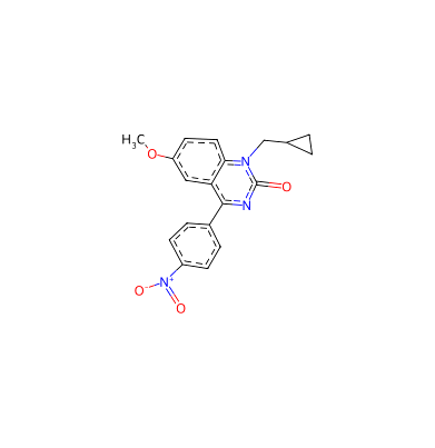 COc1ccc2c(c1)c(-c1ccc([N+](=O)[O-])cc1)nc(=O)n2CC1CC1